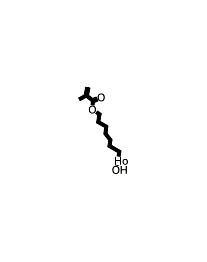 C=C(C)C(=O)OCCCCCC[CH2][Ho][OH]